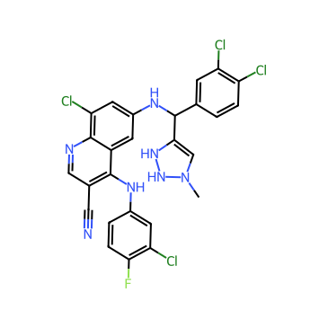 CN1C=C(C(Nc2cc(Cl)c3ncc(C#N)c(Nc4ccc(F)c(Cl)c4)c3c2)c2ccc(Cl)c(Cl)c2)NN1